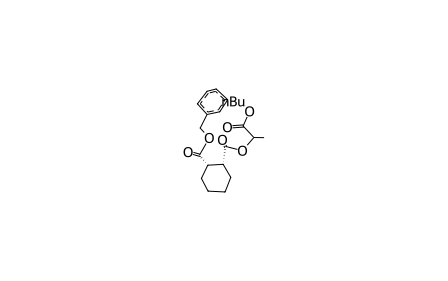 CCCCOC(=O)C(C)OC(=O)[C@@H]1CCCC[C@@H]1C(=O)OCc1ccccc1